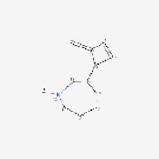 C=C1C=CC1C1CCCCN(C)C1